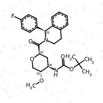 CO[C@@H]1CO[C@@H](C(=O)N2CCc3ccccc3[C@@H]2c2ccc(F)cc2)C[C@H]1NC(=O)OC(C)(C)C